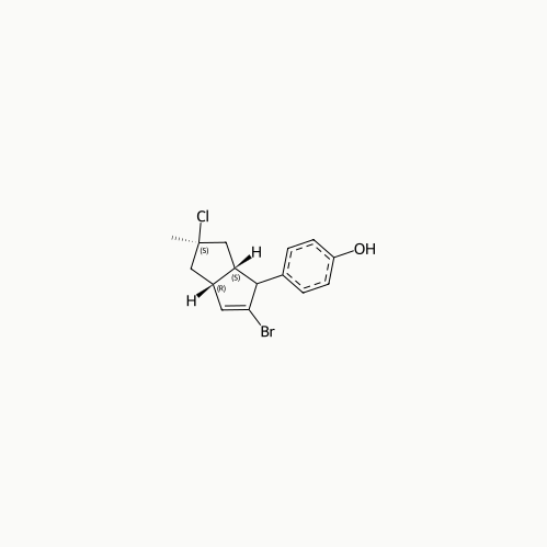 C[C@@]1(Cl)C[C@H]2C=C(Br)C(c3ccc(O)cc3)[C@H]2C1